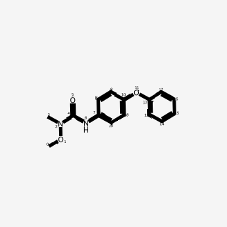 CON(C)C(=O)Nc1ccc(Oc2ccccc2)cc1